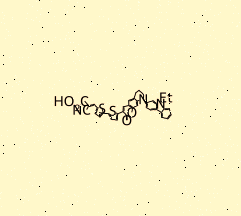 CCn1c2ccccc2c2ccc(N3CCCc4cc5cc(-c6ccc(-c7ccc(/C=C(\C#N)C(=O)O)s7)s6)c(=O)oc5cc43)cc21